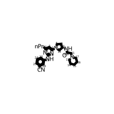 CCCc1cc(N2CC[C@H](NC(=O)CN3CCCCC3)C2)nc(Nc2cccc(C#N)c2)n1